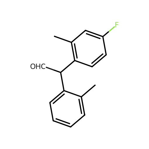 Cc1ccccc1C(C=O)c1ccc(F)cc1C